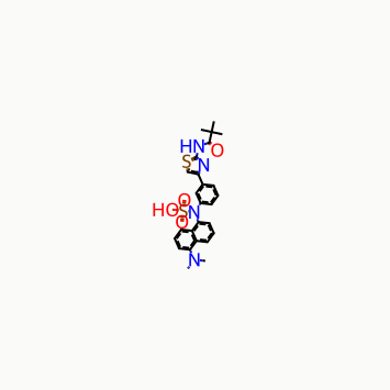 CN(C)c1cccc2c(N(c3cccc(-c4csc(NC(=O)C(C)(C)C)n4)c3)S(=O)(=O)O)cccc12